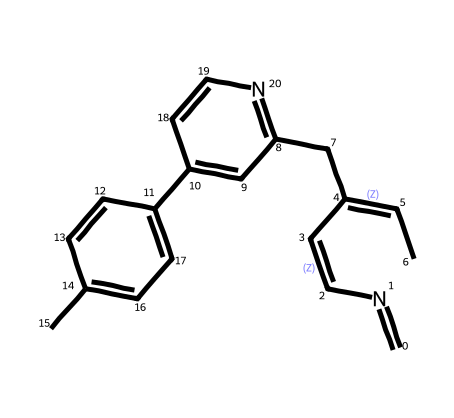 C=N/C=C\C(=C/C)Cc1cc(-c2ccc(C)cc2)ccn1